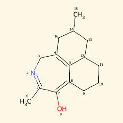 CC1=NCC2=C3C(=C1O)CCCC3CC(C)C2